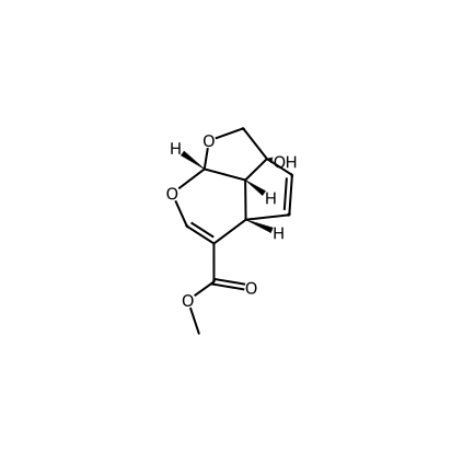 COC(=O)C1=CO[C@@H]2OC[C@]3(O)C=C[C@H]1[C@H]23